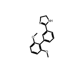 COc1cccc(OC)c1-c1cccc(C2=NCCN2)c1